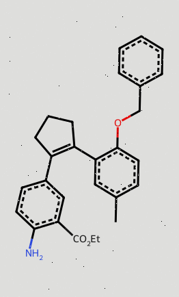 CCOC(=O)c1cc(C2=C(c3cc(C)ccc3OCc3ccccc3)CCC2)ccc1N